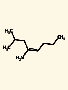 CCC/C=C(/N)CC(C)C